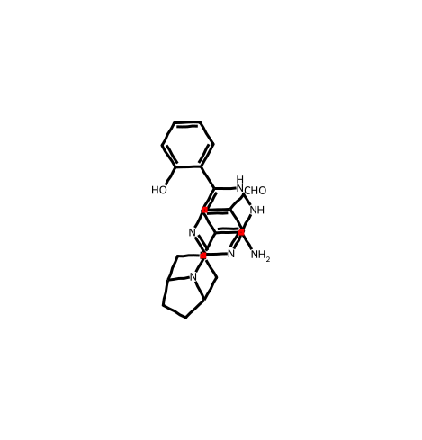 NC1=C(N2CC3CCC(C2)N3c2ncc(C=O)cn2)C=C(c2ccccc2O)NN1